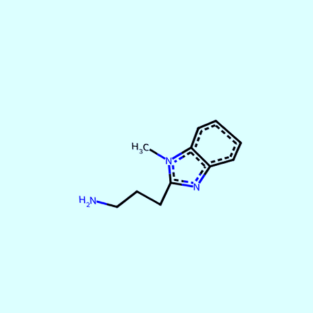 Cn1c(CCCN)nc2ccccc21